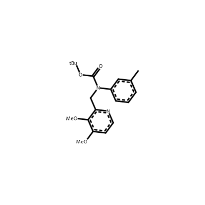 COc1ccnc(CN(C(=O)OC(C)(C)C)c2cccc(C)c2)c1OC